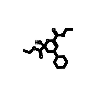 CCOC(=O)C1=CC(C2CCCCC2)C[C@](O)(C(=O)OCC)O1